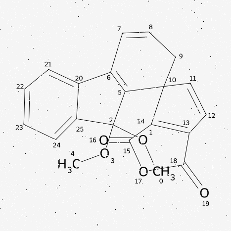 COC1(OC)C2=C(C=CCC23C=CC2=C3C(=O)OC2=O)c2ccccc21